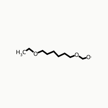 CCOCCCCCCOC[O]